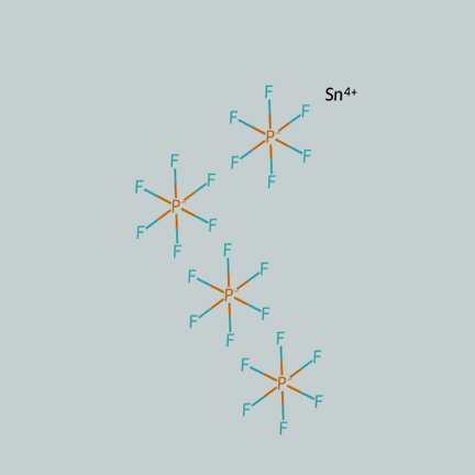 F[P-](F)(F)(F)(F)F.F[P-](F)(F)(F)(F)F.F[P-](F)(F)(F)(F)F.F[P-](F)(F)(F)(F)F.[Sn+4]